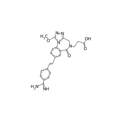 COc1nnc2n1-c1ccc(/C=C/c3ccc(C(=N)N)cc3)cc1C(=O)N(CCC(=O)O)C2